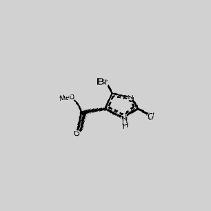 COC(=O)c1[nH]c(Cl)nc1Br